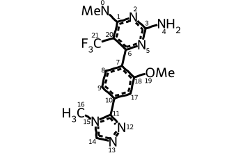 CNc1nc(N)nc(-c2ccc(-c3nncn3C)cc2OC)c1C(F)(F)F